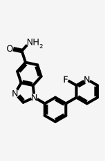 NC(=O)c1ccc2c(c1)ncn2-c1cccc(-c2cccnc2F)c1